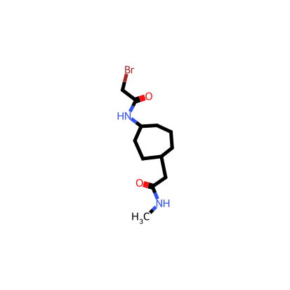 CNC(=O)CC1CCCC(NC(=O)CBr)CC1